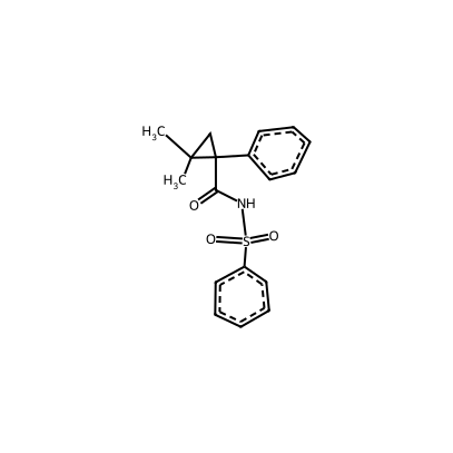 CC1(C)CC1(C(=O)NS(=O)(=O)c1ccccc1)c1ccccc1